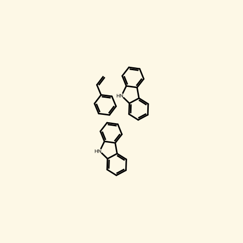 C=Cc1ccccc1.c1ccc2c(c1)[nH]c1ccccc12.c1ccc2c(c1)[nH]c1ccccc12